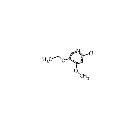 CCOc1cnc(Cl)cc1OC